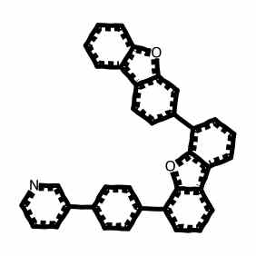 c1cncc(-c2ccc(-c3cccc4c3oc3c(-c5ccc6c(c5)oc5ccccc56)cccc34)cc2)c1